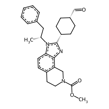 COC(=O)N1CCc2ccc3c(nc([C@H]4CC[C@@H](C=O)CC4)n3[C@H](C)Cc3ccccc3)c2C1